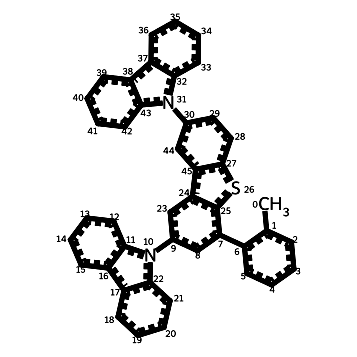 Cc1ccccc1-c1cc(-n2c3ccccc3c3ccccc32)cc2c1sc1ccc(-n3c4ccccc4c4ccccc43)cc12